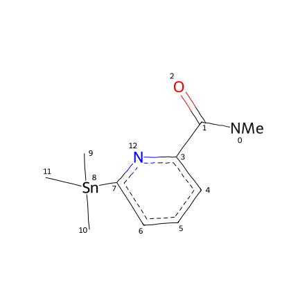 CNC(=O)c1ccc[c]([Sn]([CH3])([CH3])[CH3])n1